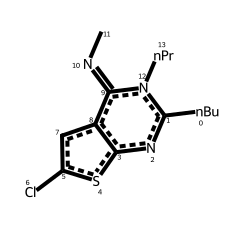 CCCCc1nc2sc(Cl)cc2c(=NC)n1CCC